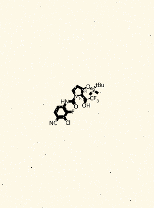 CC(C)(C)[Si](C)(C)O[C@@H]1CCN(C(=O)Nc2ccc(C#N)c(Cl)c2F)[C@@H]1[C@@H](O)C(F)(F)F